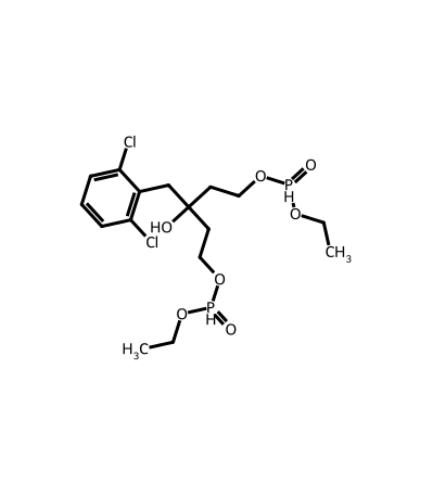 CCO[PH](=O)OCCC(O)(CCO[PH](=O)OCC)Cc1c(Cl)cccc1Cl